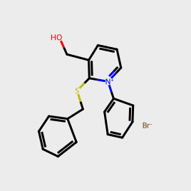 OCc1ccc[n+](-c2ccccc2)c1SCc1ccccc1.[Br-]